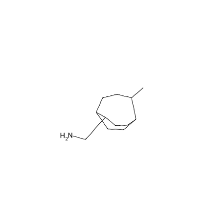 CC1CCC2CCC1CCC2CN